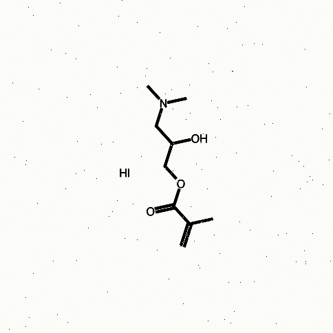 C=C(C)C(=O)OCC(O)CN(C)C.I